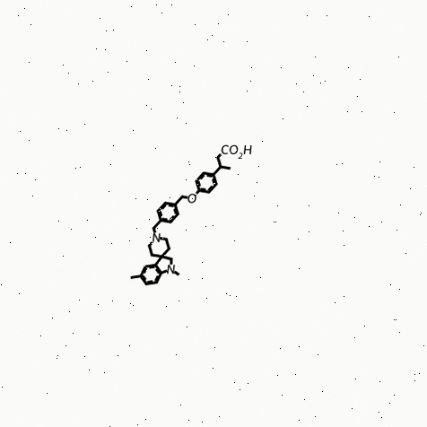 Cc1ccc2c(c1)C1(CCN(Cc3ccc(COc4ccc(C(C)CC(=O)O)cc4)cc3)CC1)CN2C